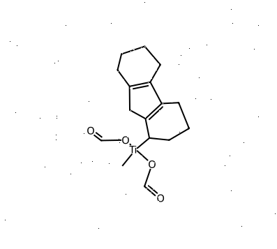 [CH3][Ti]([O]C=O)([O]C=O)[CH]1CCCC2=C1CC1=C2CCCC1